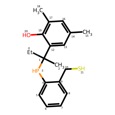 CCC(C)(Pc1ccccc1CS)c1cc(C)cc(C)c1O